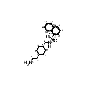 NCC[C@H]1CC[C@H](CNS(=O)(=O)c2cccc3ccccc23)CC1